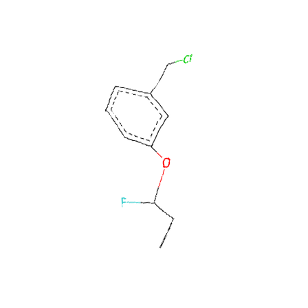 CCC(F)Oc1cccc(CCl)c1